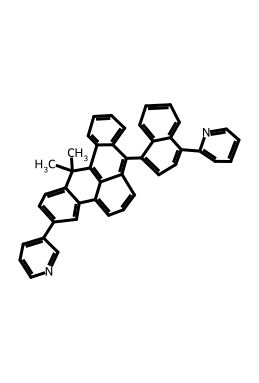 CC1(C)c2ccc(-c3cccnc3)cc2-c2cccc3c(-c4ccc(-c5ccccn5)c5ccccc45)c4ccccc4c1c23